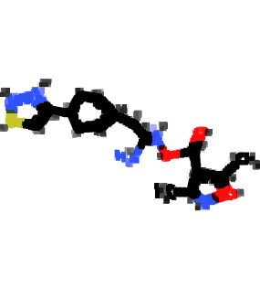 Cc1noc(C)c1C(=O)O/N=C(\N)Cc1ccc(-c2csnn2)cc1